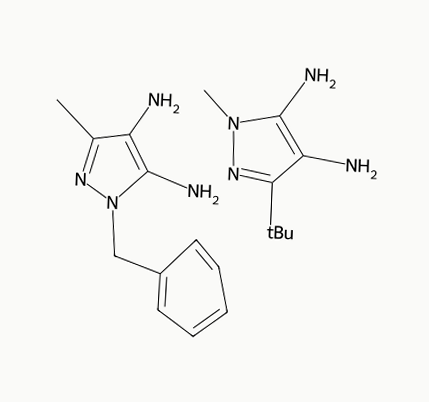 Cc1nn(Cc2ccccc2)c(N)c1N.Cn1nc(C(C)(C)C)c(N)c1N